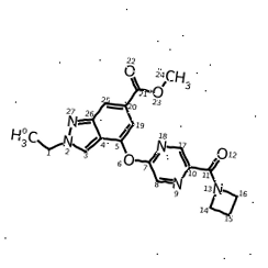 CCn1cc2c(Oc3cnc(C(=O)N4CCC4)cn3)cc(C(=O)OC)cc2n1